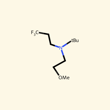 COCCN(CCC(F)(F)F)C(C)(C)C